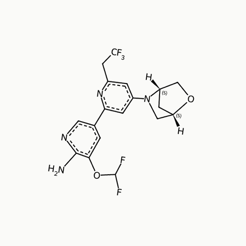 Nc1ncc(-c2cc(N3C[C@@H]4C[C@H]3CO4)cc(CC(F)(F)F)n2)cc1OC(F)F